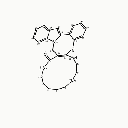 O=C1NSCCCCNCCN/C2=C\1Cn1c(cc3ccccc31)-c1ccccc1O2